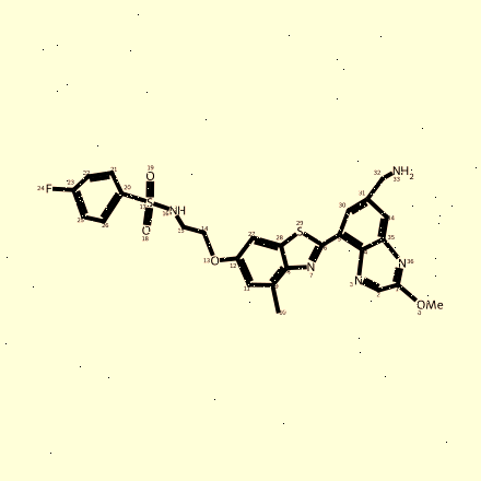 COc1cnc2c(-c3nc4c(C)cc(OCCNS(=O)(=O)c5ccc(F)cc5)cc4s3)cc(CN)cc2n1